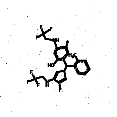 Cc1ccccc1C(c1cc(F)c(NCC(F)(F)F)cc1O)C1C=C(F)C(NCC(F)(F)F)=C1